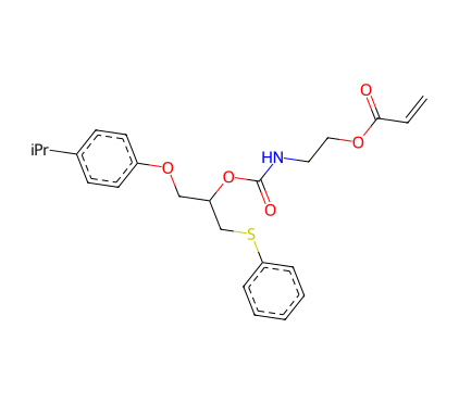 C=CC(=O)OCCNC(=O)OC(COc1ccc(C(C)C)cc1)CSc1ccccc1